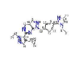 CCn1cc(C)nc1-c1ccc(Cn2ncc3cnc(-c4c(C5CC5)cnn4CC)nc32)cc1